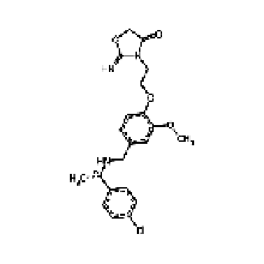 COc1cc(CN[C@@H](C)c2ccc(Cl)cc2)ccc1OCCN1C(=N)OCC1=O